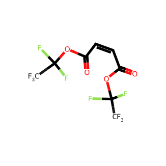 O=C(/C=C\C(=O)OC(F)(F)C(F)(F)F)OC(F)(F)C(F)(F)F